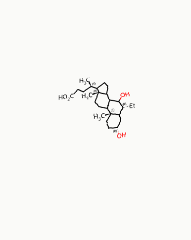 CC[C@H]1C(O)C2C3CCC([C@H](C)CCC(=O)O)[C@@]3(C)CCC2[C@@]2(C)CC[C@@H](O)CC12